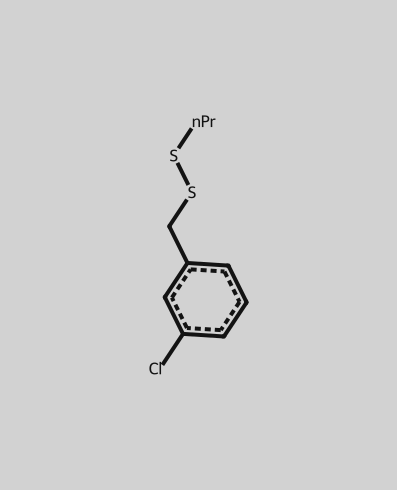 CCCSSCc1cccc(Cl)c1